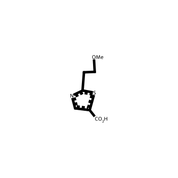 COCCc1ncc(C(=O)O)s1